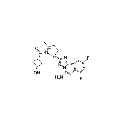 C[C@H]1CC[C@@H](c2nc3c4cc(F)cc(F)c4nc(N)n3n2)CN1C(=O)C1CC(O)C1